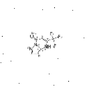 O=c1cc(C(F)(F)F)[nH]c2ccnn12